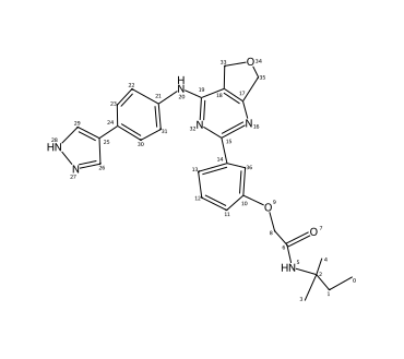 CCC(C)(C)NC(=O)COc1cccc(-c2nc3c(c(Nc4ccc(-c5cn[nH]c5)cc4)n2)COC3)c1